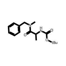 CC(NC(=O)OC(C)(C)C)C(=O)N(C)Cc1ccccc1